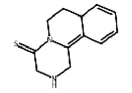 S=C1CNCC2=C3C=CC=CC3CCN12